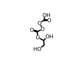 O=C(O)OOC(=O)OC(O)CO